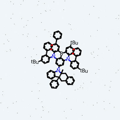 CC(C)(C)c1ccc2c(c1)B1c3cc(-c4ccccc4)ccc3N(c3ccc(C(C)(C)C)cc3-c3ccccc3)c3cc(N4c5ccccc5C5(c6ccccc6)Cc6ccccc6CC45C)cc(c31)N2c1ccc(C(C)(C)C)cc1-c1ccccc1